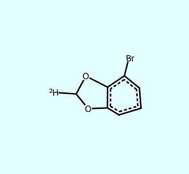 [2H]C1Oc2cccc(Br)c2O1